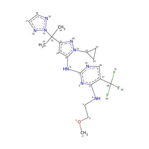 COCCNc1nc(Nc2cc(C(C)(C)n3nccn3)nn2C2CC2)ncc1C(F)(F)F